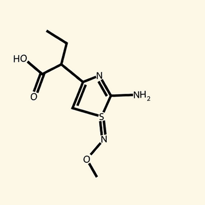 CCC(C(=O)O)C1=CS(=NOC)C(N)=N1